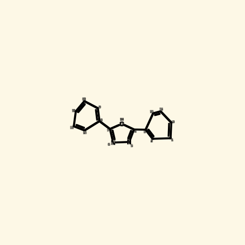 [c]1ccc(-c2nnc(-c3ccccc3)o2)cc1